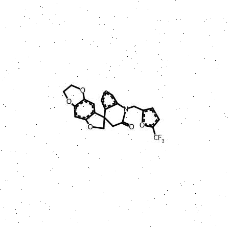 O=C1CC2(COc3cc4c(cc32)OCCO4)c2ccccc2N1Cc1ccc(C(F)(F)F)o1